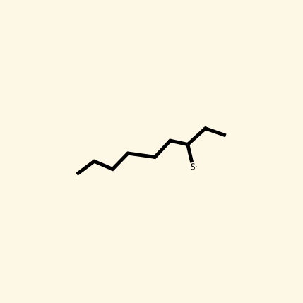 CCCCCCC([S])CC